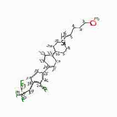 COCCCCC[SiH]1CCC(C2CCC(c3ccc(CC(F)(F)F)c(F)c3)CC2)CC1